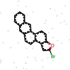 Brc1cc2c(ccc3c4cc5ccccc5cc4ccc23)o1